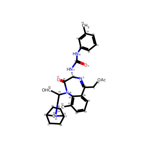 CC(=O)OCC1=N[C@@H](NC(=O)Nc2cccc(C)c2)C(=O)N(C(C=O)N2CC3CCC(CC3)C2)c2c(C)cccc21